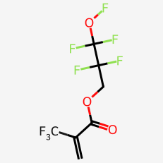 C=C(C(=O)OCC(F)(F)C(F)(F)OF)C(F)(F)F